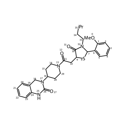 COc1ccccc1C1SC(CC(=O)N2CCC(N3Cc4ccccc4NC3=O)CC2)C(=O)N1CCC(C)C